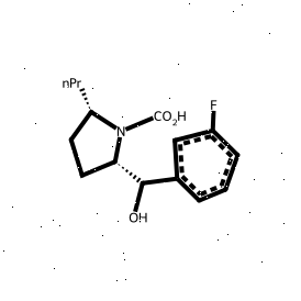 CCC[C@H]1CC[C@@H](C(O)c2cccc(F)c2)N1C(=O)O